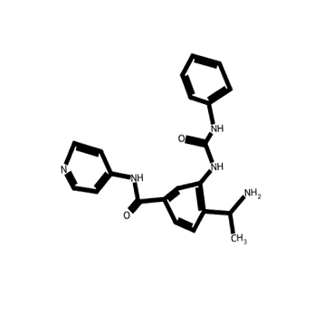 CC(N)c1ccc(C(=O)Nc2ccncc2)cc1NC(=O)Nc1ccccc1